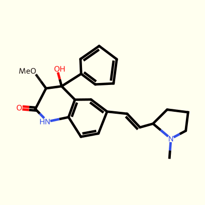 COC1C(=O)Nc2ccc(C=CC3CCCN3C)cc2C1(O)c1ccccc1